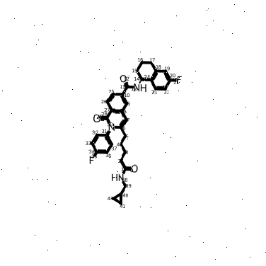 O=C(CCCCc1cc2cc(C(=O)N[C@@H]3CCCc4cc(F)ccc43)ccc2c(=O)n1-c1ccc(F)cc1)NCC1CC1